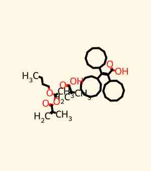 C=C(C)C(=O)O.C=C(C)C(=O)OC(C)OCCCC.O=C(O)C(=C(C1CCCCCCCCC1)C1CCCCCCCCC1)C1CCCCCCCCC1